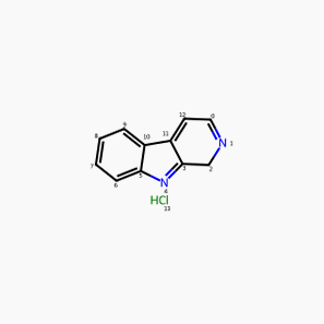 C1=NCC2=Nc3ccccc3C2=C1.Cl